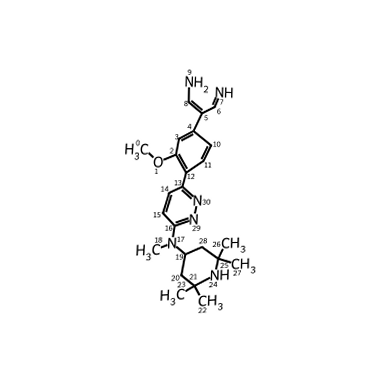 COc1cc(/C(C=N)=C/N)ccc1-c1ccc(N(C)C2CC(C)(C)NC(C)(C)C2)nn1